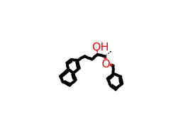 C[C@H](OCc1ccccc1)[C@@H](O)CCc1ccc2ccccc2c1